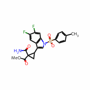 COC(=O)C1(C(N)=O)CC1c1cn(S(=O)(=O)c2ccc(C)cc2)c2cc(F)c(F)cc12